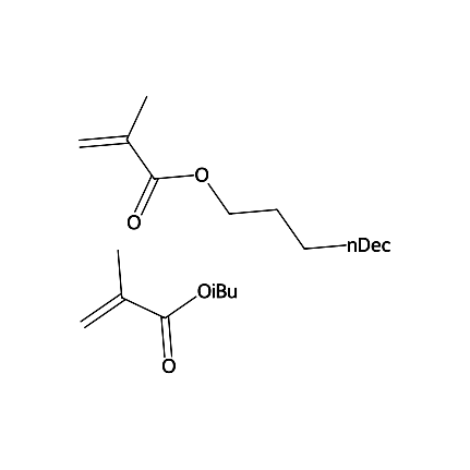 C=C(C)C(=O)OCC(C)C.C=C(C)C(=O)OCCCCCCCCCCCCC